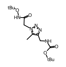 Cc1c(CNC(=O)OC(C)(C)C)nnn1CC(=O)NOC(C)(C)C